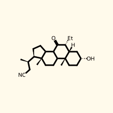 CC[C@H]1C(=O)C2C3CC[C@H]([C@H](C)CC#N)[C@@]3(C)CCC2[C@@]2(C)CC[C@@H](O)C[C@@H]12